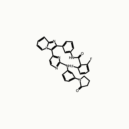 O=C(Nc1cccc(-c2nc3ccccn3c2-c2ccnc(Nc3cccc(N4CCCC4=O)c3)n2)c1)c1c(F)cccc1F